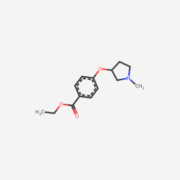 CCOC(=O)c1ccc(OC2CCN(C)C2)cc1